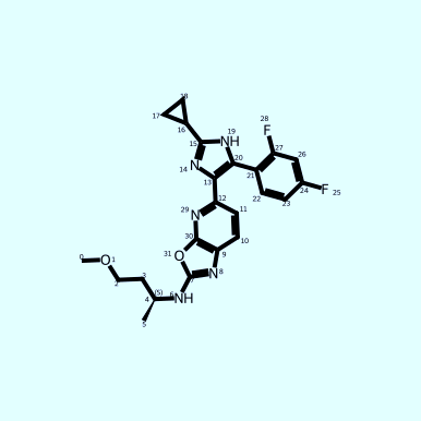 COCC[C@H](C)Nc1nc2ccc(-c3nc(C4CC4)[nH]c3-c3ccc(F)cc3F)nc2o1